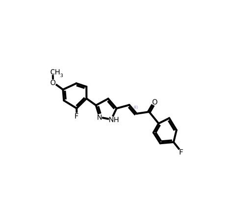 COc1ccc(-c2cc(/C=C/C(=O)C3=C=C=C(F)C=C3)[nH]n2)c(F)c1